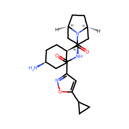 N[C@H]1CC[C@@H](C(=O)N2[C@@H]3CC[C@H]2C[C@@H](NC(=O)c2cc(C4CC4)on2)C3)CC1